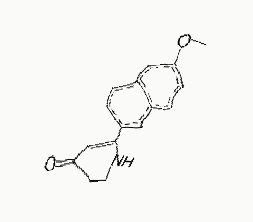 COc1ccc2cc(C3=CC(=O)CCN3)ccc2c1